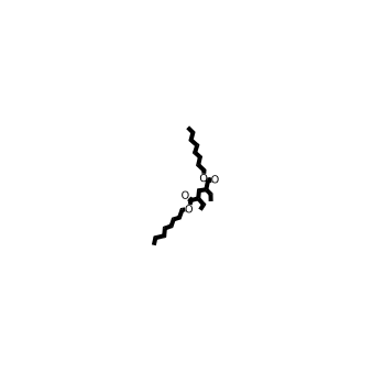 CCCCCCCCOC(=O)C(CC)CC(CC)C(=O)OCCCCCCCC